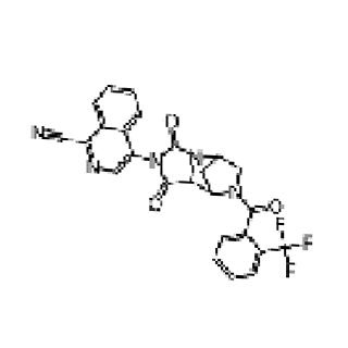 N#Cc1ncc(N2C(=O)C3C4CC(CN4C(=O)c4ccccc4C(F)(F)F)N3C2=O)c2ccccc12